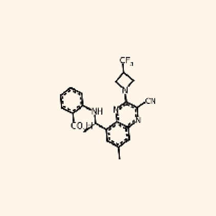 Cc1cc([C@@H](C)Nc2ccccc2C(=O)O)c2nc(N3CC(C(F)(F)F)C3)c(C#N)nc2c1